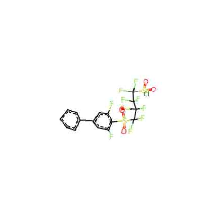 O=S(=O)(Cl)C(F)(F)C(F)(F)C(F)(F)C(F)(F)S(=O)(=O)c1c(F)cc(-c2ccccc2)cc1F